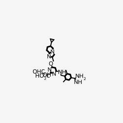 Cc1cc(C(=N)N)cc(C)c1CNc1cc(OCc2cn3cc(C4CC4)ccc3n2)nc(C(=O)O)n1.O=CO